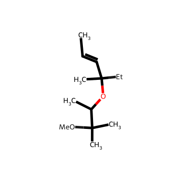 CC=CC(C)(CC)OC(C)C(C)(C)OC